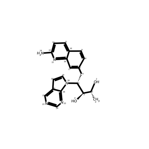 C[C@@H](O)[C@@H](O)[C@@H](Cc1ccc2ccc(N)nc2c1)n1ccc2cncnc21